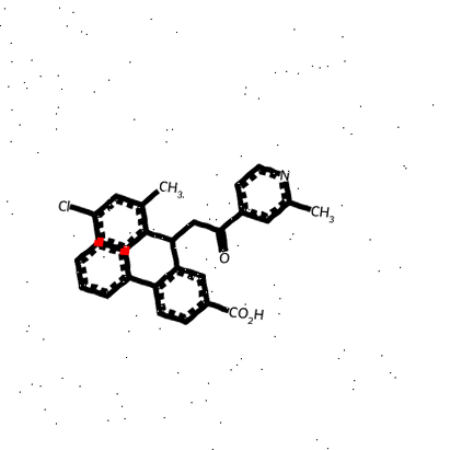 Cc1cc(C(=O)CC(c2ccc(Cl)cc2C)c2cc(C(=O)O)ccc2-c2ccccc2)ccn1